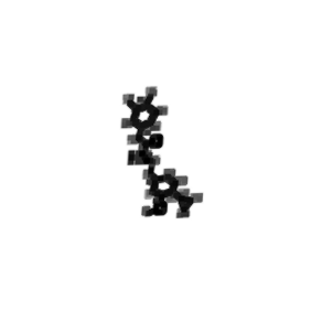 COc1cc(CCNC(=O)Cc2ccc(C)c(C)c2)ccc1C1CC1